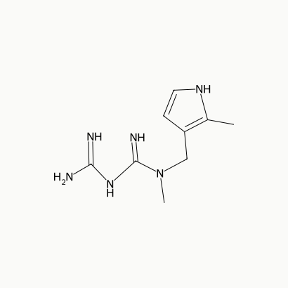 Cc1[nH]ccc1CN(C)C(=N)NC(=N)N